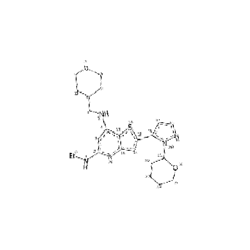 CCNc1cc(NCC2CCOCC2)c2sc(-c3ccnn3C3CCCCO3)cc2n1